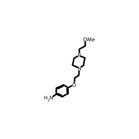 COCCN1CCN(CCOc2ccc(N)cc2)CC1